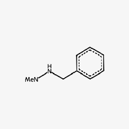 CNNCc1ccccc1